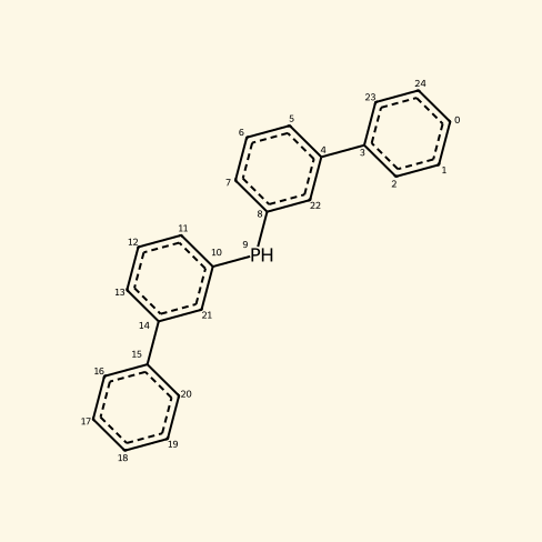 c1ccc(-c2cccc(Pc3cccc(-c4ccccc4)c3)c2)cc1